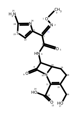 CO/N=C(/C(=O)NC1C(=O)N2C(C(=O)O)=C(CO)CCC12)c1csc(N)n1